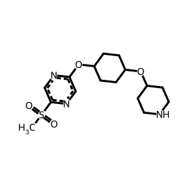 CS(=O)(=O)c1cnc(OC2CCC(OC3CCNCC3)CC2)cn1